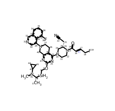 C[C@@H]([SiH2]COc1nc2c(c(N3CCN(C(=O)/C=C/CF)[C@@H](CC#N)C3)n1)CCN(c1cncc3cccc(F)c13)C2)N(C)C1CC1